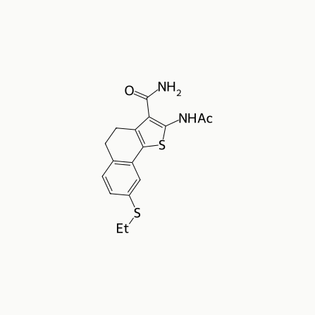 CCSc1ccc2c(c1)-c1sc(NC(C)=O)c(C(N)=O)c1CC2